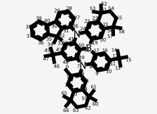 Cc1cc2c(cc1N1c3ccc(C(C)(C)C)cc3B3c4cc5c(cc4N(c4cccc6c4C(C)(C)c4ccccc4-6)c4cc(C(C)(C)C)cc1c43)C(C)(C)CCC5(C)C)C(C)(C)CCC2(C)C